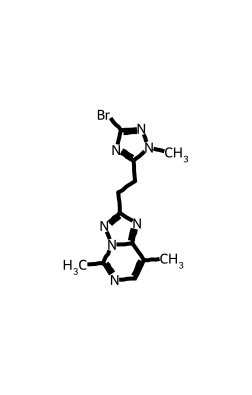 Cc1cnc(C)n2nc(CCc3nc(Br)nn3C)nc12